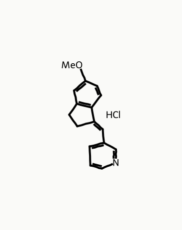 COc1ccc2c(c1)CCC2=Cc1cccnc1.Cl